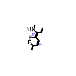 CC/C(NC)=C(F)\C=C/C(C)F